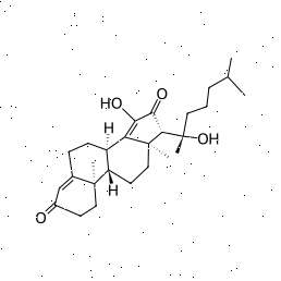 CC(C)CCC[C@](C)(O)[C@H]1C(=O)C(O)=C2[C@@H]3CCC4=CC(=O)CC[C@]4(C)[C@H]3CC[C@@]21C